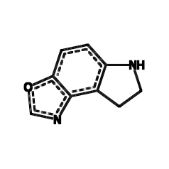 c1nc2c3c(ccc2o1)NCC3